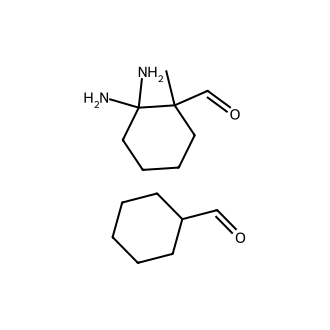 CC1(C=O)CCCCC1(N)N.O=CC1CCCCC1